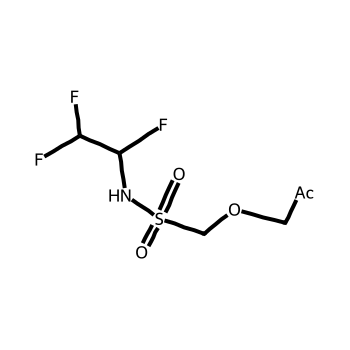 CC(=O)COCS(=O)(=O)NC(F)C(F)F